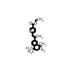 CCOC(=O)c1ccc(/C=C(\C)c2ccc3c(c2)C(C)(C)CCC3(C)C)nc1